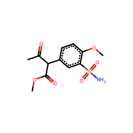 COC(=O)C(C(C)=O)c1ccc(OC)c(S(N)(=O)=O)c1